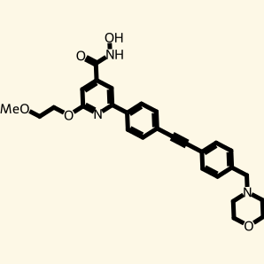 COCCOc1cc(C(=O)NO)cc(-c2ccc(C#Cc3ccc(CN4CCOCC4)cc3)cc2)n1